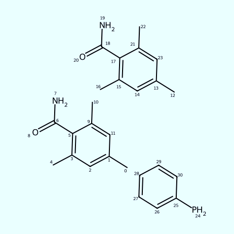 Cc1cc(C)c(C(N)=O)c(C)c1.Cc1cc(C)c(C(N)=O)c(C)c1.Pc1ccccc1